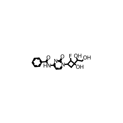 O=C(Nc1ccn(C2CC(O)(C(O)CO)C2F)c(=O)n1)c1ccccc1